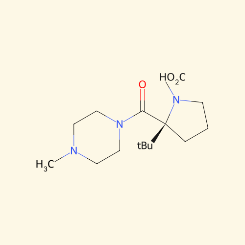 CN1CCN(C(=O)[C@@]2(C(C)(C)C)CCCN2C(=O)O)CC1